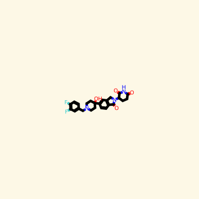 O=C1CCC(N2Cc3cc(C4(O)CCN(Cc5ccc(F)c(F)c5)CC4)ccc3C2=O)C(=O)N1